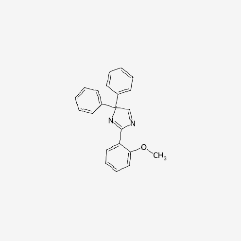 COc1ccccc1C1=NC(c2ccccc2)(c2ccccc2)C=N1